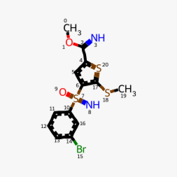 COC(=N)c1cc(S(=N)(=O)c2cccc(Br)c2)c(SC)s1